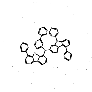 c1ccc(-c2cccc(N(c3ccc4c5c(-c6ccccc6)cccc5n(-c5ccccc5)c4c3)c3cccc4c3oc3c(-c5ccccc5)cccc34)c2)cc1